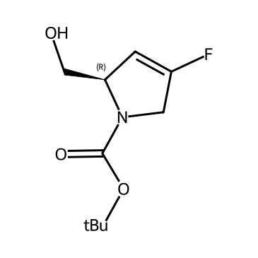 CC(C)(C)OC(=O)N1CC(F)=C[C@@H]1CO